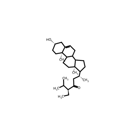 CC[C@H](C(=O)C[C@@H](C)C1CCC2C3CC=C4C[C@@H](O)CC[C@]4(C)C3CC[C@@]21C)C(C)C